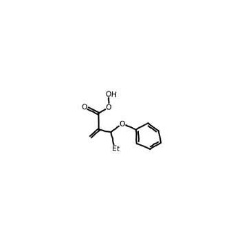 C=C(C(=O)OO)C(CC)Oc1ccccc1